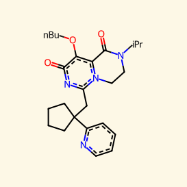 CCCCOc1c2n(c(CC3(c4ccccn4)CCCC3)nc1=O)CCN(C(C)C)C2=O